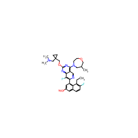 CCc1c(F)ccc2cc(O)cc(-c3ncc4c(N5CCOCC(C)C5)nc(OCC5(CN(C)C)CC5)nc4c3F)c12